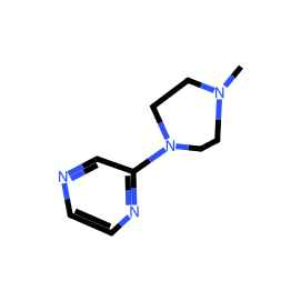 CN1CCN(c2cnccn2)CC1